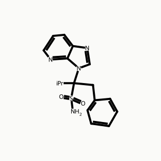 CC(C)C(Cc1ccccc1)(n1cnc2cccnc21)S(N)(=O)=O